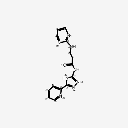 O=C(CCNc1ncccn1)Nc1nnc(-c2ccccn2)[nH]1